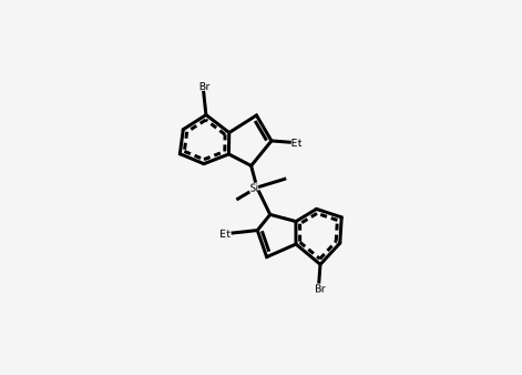 CCC1=Cc2c(Br)cccc2C1[Si](C)(C)C1C(CC)=Cc2c(Br)cccc21